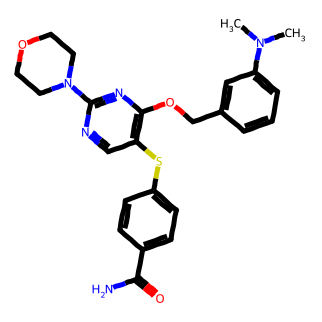 CN(C)c1cccc(COc2nc(N3CCOCC3)ncc2Sc2ccc(C(N)=O)cc2)c1